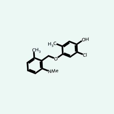 CNc1cccc(C)c1COc1cc(Cl)c(O)cc1C